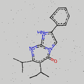 CC(C)c1nc2[nH]c(-c3ccccc3)cn2c(=O)c1C(C)C